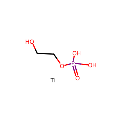 O=P(O)(O)OCCO.[Ti]